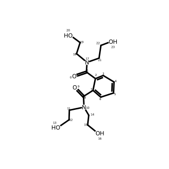 O=C(c1ccccc1C(=O)N(CCO)CCO)N(CCO)CCO